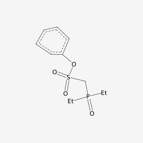 CCP(=O)(CC)CS(=O)(=O)Oc1ccccc1